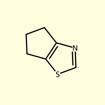 [c]1nc2c(s1)CCC2